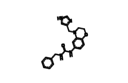 O=C(NCc1ccccc1)Nc1ccc2c(c1)N(Cc1c[nH]cn1)CCO2